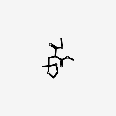 COC(=O)C(CC1(C)OCCO1)C(=O)OC